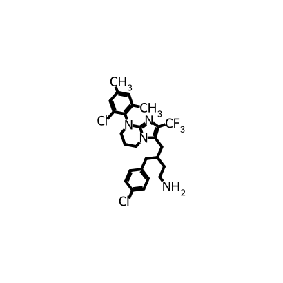 Cc1cc(C)c(N2CCCn3c2nc(C(F)(F)F)c3CC(CCN)Cc2ccc(Cl)cc2)c(Cl)c1